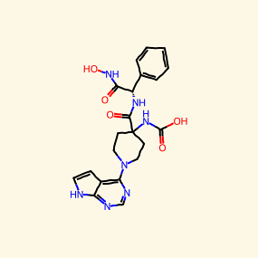 O=C(O)NC1(C(=O)N[C@H](C(=O)NO)c2ccccc2)CCN(c2ncnc3[nH]ccc23)CC1